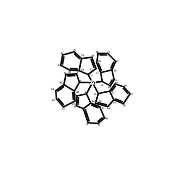 C1=C[CH]([Zr]([CH]2C=Cc3ccccc32)([CH]2C=Cc3ccccc32)([CH]2C=Cc3ccccc32)[CH]2C=Cc3ccccc32)c2ccccc21